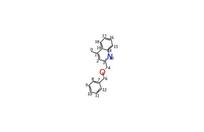 Cc1cc(COCc2ccccc2)nc2ccccc12